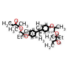 C=CC(=O)C(C)(C)OCC(C)(CC)Oc1ccc(C(C)(C)c2ccc(OC(C)COC(C)(CC)C(=O)C=C)cc2)cc1